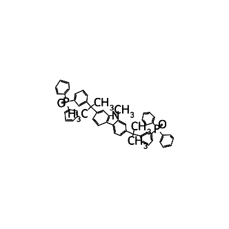 Cn1c2cc(C(C)(C)c3cccc(P(=O)(c4ccccc4)c4ccccc4)c3)ccc2c2ccc(C(C)(C)c3cccc(P(=O)(c4ccccc4)c4ccccc4)c3)cc21